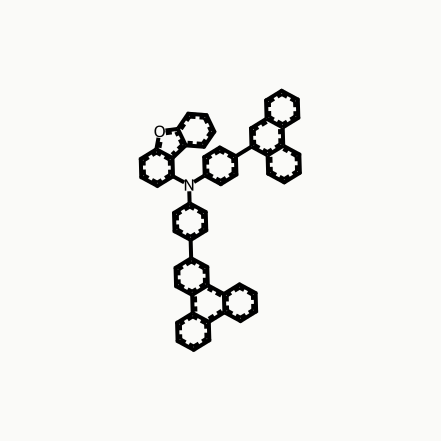 c1ccc2c(c1)cc(-c1ccc(N(c3ccc(-c4ccc5c6ccccc6c6ccccc6c5c4)cc3)c3cccc4oc5ccccc5c34)cc1)c1ccccc12